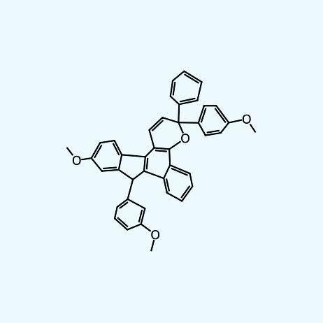 COc1ccc(C2(c3ccccc3)C=Cc3c4c(c5ccccc5c3O2)C(c2cccc(OC)c2)c2cc(OC)ccc2-4)cc1